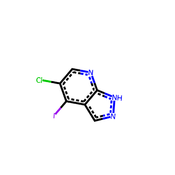 Clc1cnc2[nH]ncc2c1I